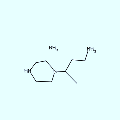 CC(CCN)N1CCNCC1.N